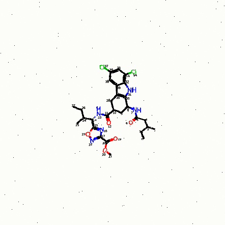 CCC(C)CC(=O)NC1CC(C(=O)N[C@H](c2nc(C(=O)OC)no2)C(C)CC)Cc2c1[nH]c1c(Cl)cc(Cl)cc21